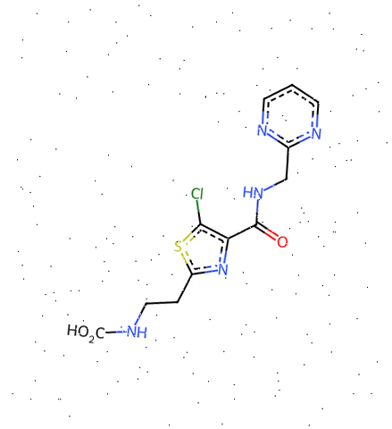 O=C(O)NCCc1nc(C(=O)NCc2ncccn2)c(Cl)s1